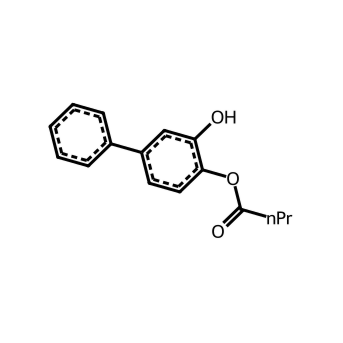 CCCC(=O)Oc1ccc(-c2ccccc2)cc1O